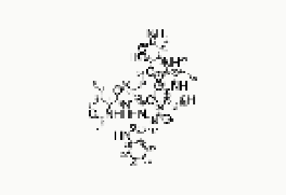 CC[C@H](C)[C@H](NC(C)=O)C(=O)N[C@H](C(=O)N[C@@H](Cc1c[nH]c2ccccc12)C(=O)N[C@@H](CS)C(=O)N[C@H](C(=O)N[C@@H](CC(N)=O)C(=O)O)C(C)C)[C@@H](C)CC